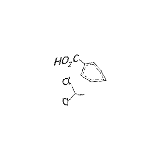 CC(Cl)Cl.O=C(O)c1ccccc1